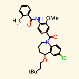 COc1cc(C(=O)N2CCCC(OCCC(C)(C)C)c3cc(Cl)ccc32)ccc1NC(=O)c1ccccc1C